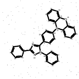 c1ccc(-c2nc(-c3ccc(N4c5ccccc5Oc5ccccc54)cc3)n(-c3ccccc3)n2)cc1